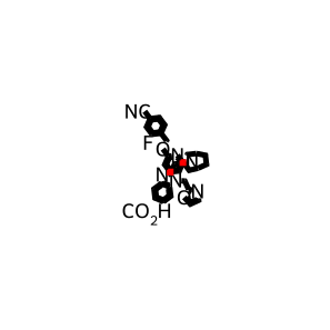 N#Cc1ccc(COc2cccc(N3C4CCC3CN(Cc3nc5ccc(C(=O)O)cc5n3Cc3ncco3)C4)n2)c(F)c1